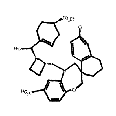 CCOC(=O)[C@H]1CC=C(C(O)[C@@H]2CC[C@H]2CN2CC3(CCCc4cc(Cl)ccc43)COc3ccc(C(=O)O)cc32)CC1